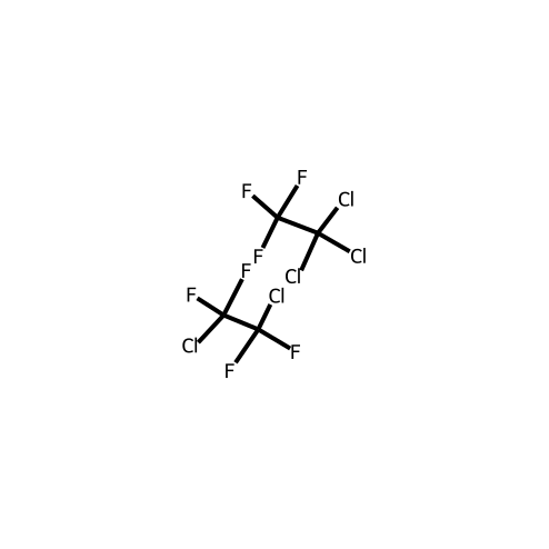 FC(F)(Cl)C(F)(F)Cl.FC(F)(F)C(Cl)(Cl)Cl